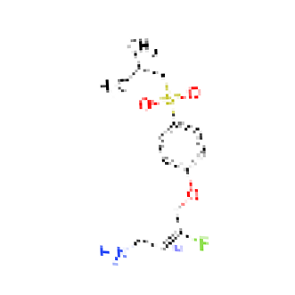 CC(C)CS(=O)(=O)c1ccc(OC/C(F)=C\CN)cc1